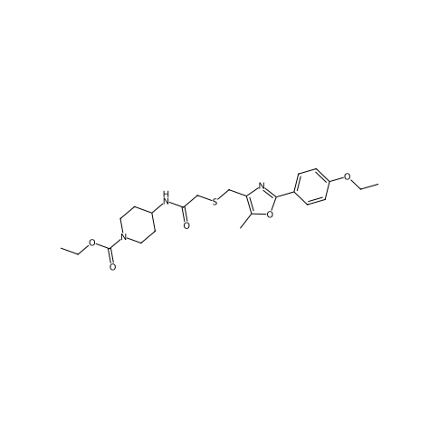 CCOC(=O)N1CCC(NC(=O)CSCc2nc(-c3ccc(OCC)cc3)oc2C)CC1